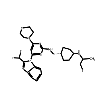 CC(CF)N[C@H]1CC[C@H](CNc2nc(N3CCOCC3)cc(-n3c(C(F)F)nc4ccccc43)n2)CC1